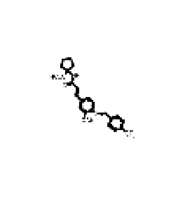 COc1cc(/C=C/C(=O)NC2(C(=O)O)CCCC2)ccc1OCc1ccc(C(F)(F)F)cc1